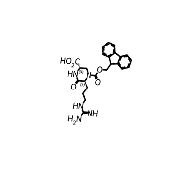 N=C(N)NCCC[C@H]1C(=O)N[C@H](C(=O)O)CN1C(=O)OCC1c2ccccc2-c2ccccc21